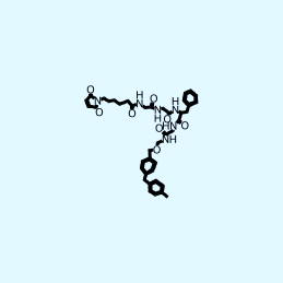 Cc1ccc(Cc2ccc(COCNC(=O)CNC(=O)C(Cc3ccccc3)NC(=O)CNC(=O)CNC(=O)CCCCCN3C(=O)C=CC3=O)cc2)cc1